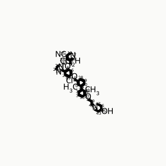 Cc1c(COc2cc(OCc3cncc(C#N)c3)c(C3=NCCN3CC(=O)O)cc2Cl)cccc1-c1cccc(OCCCN2CCC(O)CC2)c1C